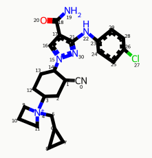 N#CC1CC([N+]2(CC3CC3)CCC2)CCC1n1cc(C(N)=O)c(Nc2ccc(Cl)cc2)n1